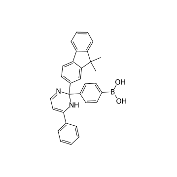 CC1(C)c2ccccc2-c2ccc(C3(c4ccc(B(O)O)cc4)N=CC=C(c4ccccc4)N3)cc21